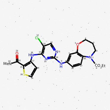 CCOC(=O)N1CCCOc2cc(Nc3ncc(Cl)c(Nc4ccsc4C(=O)NC)n3)ccc21